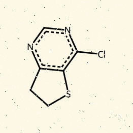 Clc1ncnc2c1SCC2